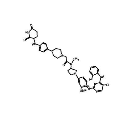 COc1cc(N2CCC(N(C)C(=O)CN3CCC(c4ccc(NC5CCC(=O)NC5=O)cc4)CC3)C2)ccc1Nc1ncc(Cl)c(Nc2ccccc2C(C)=O)n1